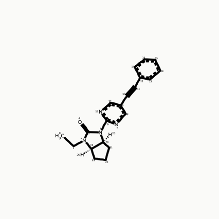 CCN1C(=O)N(c2ncc(C#Cc3ccccc3)cn2)[C@H]2CCC[C@H]21